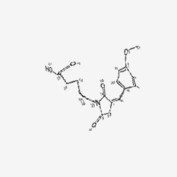 COc1ccc(C=C2SC(=O)N(CCCC(=O)O)C2=O)cc1